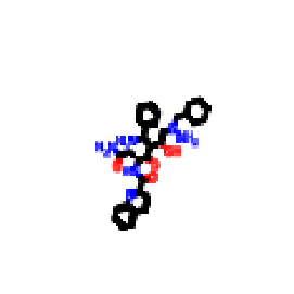 NC(=O)C[C@H](NC(=O)c1ccc2ccccc2n1)C(=O)C(C(N)c1ccccc1)[C@@H](O)CN(N)CC1CCCCC1